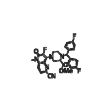 COC(=O)C1CN(c2c(F)c(=O)n(C)c3ccc(C#N)nc23)CCN1C(c1ccc(F)cc1)c1ccc(F)cc1